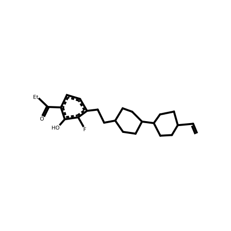 C=CC1CCC(C2CCC(CCc3ccc(C(=O)CC)c(O)c3F)CC2)CC1